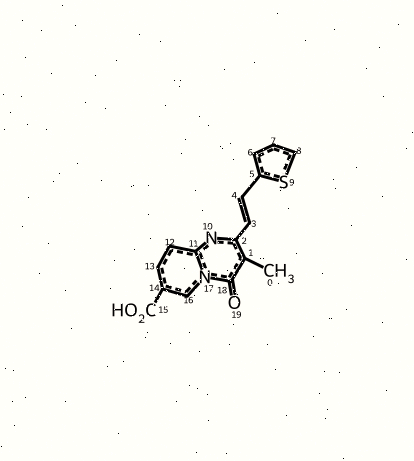 Cc1c(C=Cc2cccs2)nc2ccc(C(=O)O)cn2c1=O